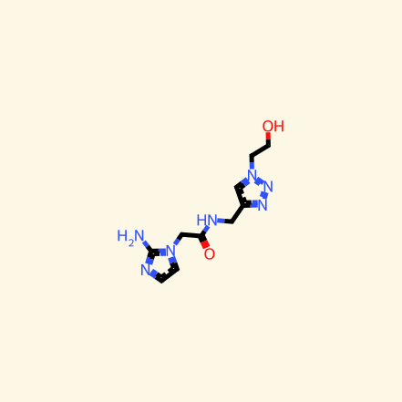 Nc1nccn1CC(=O)NCc1cn(CCO)nn1